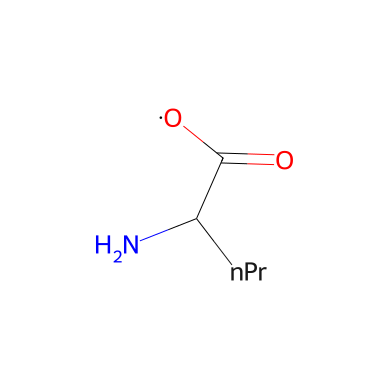 CCCC(N)C([O])=O